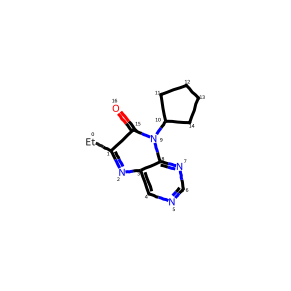 CCc1nc2cn[c]nc2n(C2CCCC2)c1=O